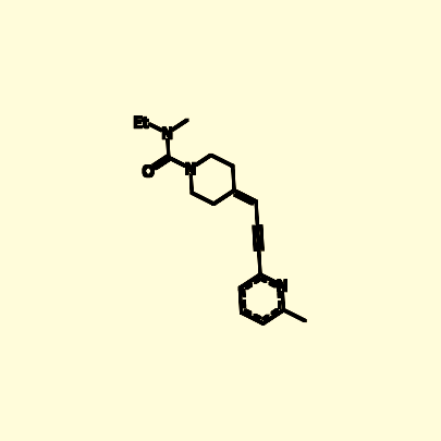 CCN(C)C(=O)N1CCC(=CC#Cc2cccc(C)n2)CC1